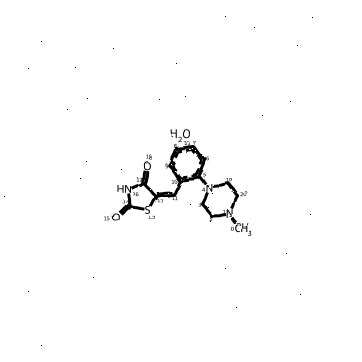 CN1CCN(c2ccccc2C=C2SC(=O)NC2=O)CC1.O